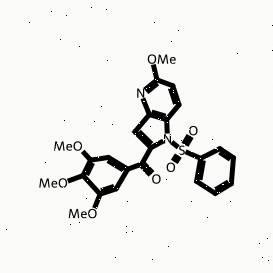 COc1ccc2c(cc(C(=O)c3cc(OC)c(OC)c(OC)c3)n2S(=O)(=O)c2ccccc2)n1